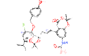 BC(=O)Nc1cc(/C=C/C[C@@H]2OC(C)(C)O[C@@H]2[C@H](OCc2ccc(OC)cc2)/C(F)=C\[C@@H](C)C(C)C)c2c(c1)OC(C)(C)OC2=O